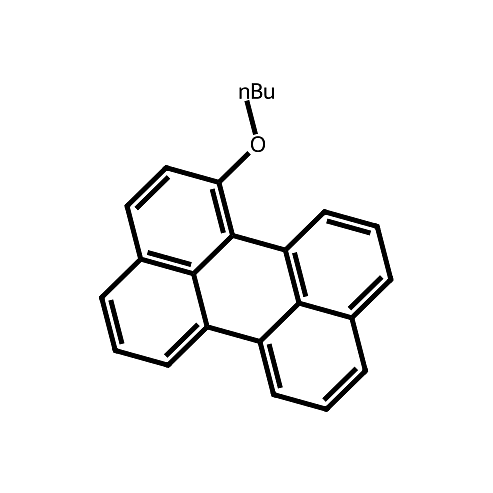 CCCCOc1ccc2cccc3c4cccc5cccc(c1c23)c54